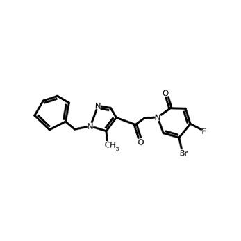 Cc1c(C(=O)Cn2cc(Br)c(F)cc2=O)cnn1Cc1ccccc1